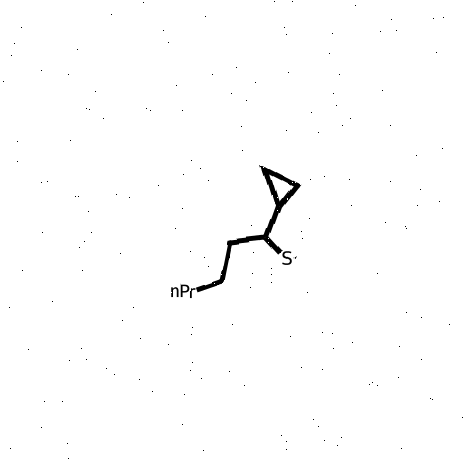 CCCCCC([S])C1CC1